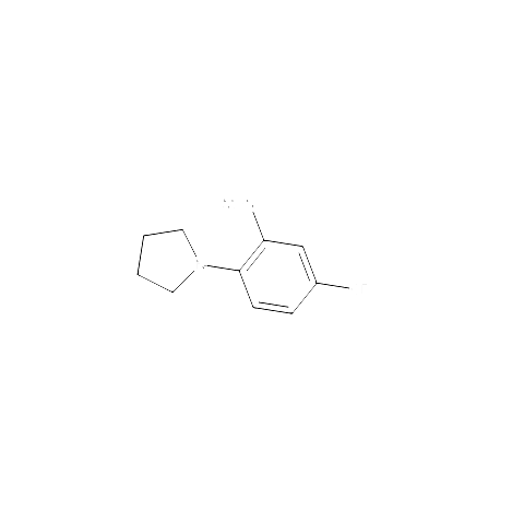 CNc1cc(C(F)(F)F)ccc1N1CCCC1